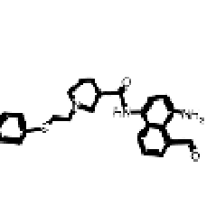 Nc1ccc(NC(=O)C2CCCN(CCSc3ccccc3)C2)c2cccc(C=O)c12